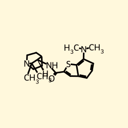 CN(C)c1cccc2cc(C(=O)N[C@H]3C4CCN(CC4)C3(C)C)sc12